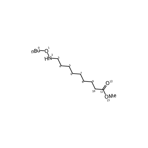 CCCCONCCCCCCCCC(=O)OC